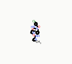 Cc1cccc(C(=O)Nc2ccc(CN3C(=O)c4ccc(Cl)cc4NC(=O)[C@H]3Cc3ccccn3)cc2)n1